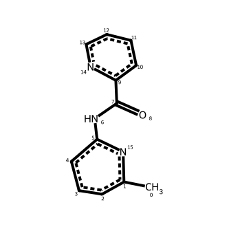 Cc1cccc(NC(=O)c2ccccn2)n1